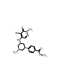 COC(=O)c1ccc([C@@H]2C[C@H](Nc3cnn(C)c(=O)c3Br)CN(C)C2)cc1